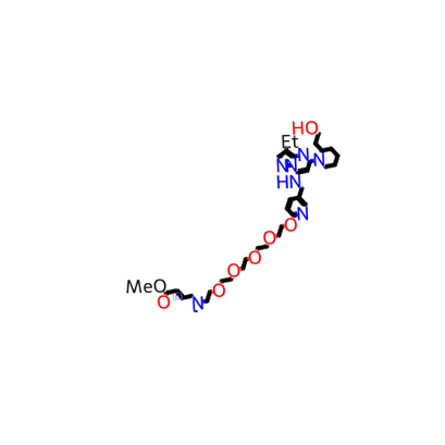 CCc1cnn2c(NCc3ccc(OCCOCCOCCOCCOCCN(C)C/C=C/C(=O)OC)nc3)cc(N3CCCCC3CCO)nc12